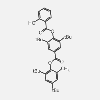 Cc1cc(C(C)(C)C)cc(C(C)(C)C)c1OC(=O)c1cc(C(C)(C)C)c(OC(=O)c2ccccc2O)c(C(C)(C)C)c1